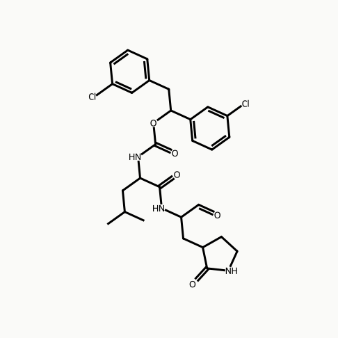 CC(C)CC(NC(=O)OC(Cc1cccc(Cl)c1)c1cccc(Cl)c1)C(=O)NC(C=O)CC1CCNC1=O